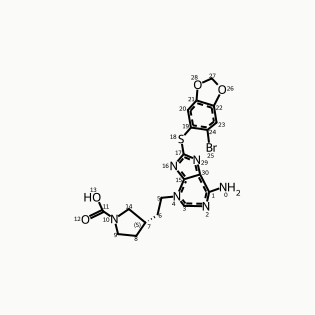 Nc1ncn(CC[C@@H]2CCN(C(=O)O)C2)c2nc(Sc3cc4c(cc3Br)OCO4)nc1-2